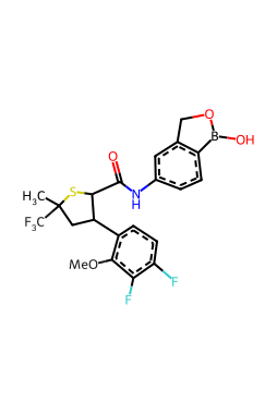 COc1c(C2CC(C)(C(F)(F)F)SC2C(=O)Nc2ccc3c(c2)COB3O)ccc(F)c1F